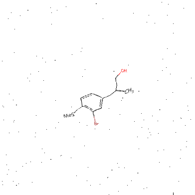 CSc1ccc([C](C)CO)cc1Br